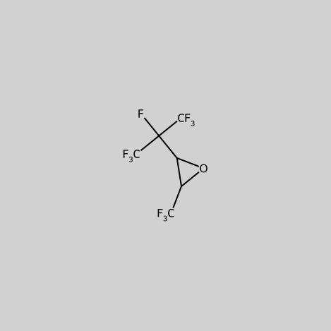 FC(F)(F)C1OC1C(F)(C(F)(F)F)C(F)(F)F